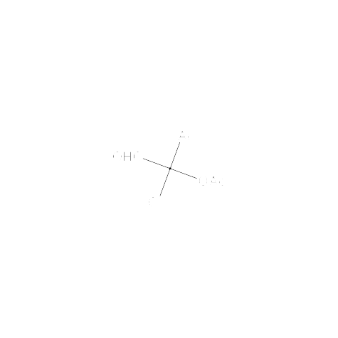 CC(=O)OC(Cl)(C=O)C(C)=O